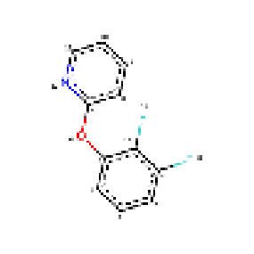 Fc1cccc(Oc2cc[c]cn2)c1F